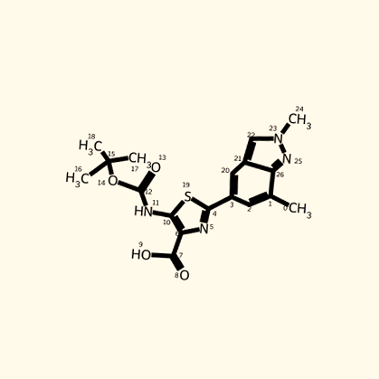 Cc1cc(-c2nc(C(=O)O)c(NC(=O)OC(C)(C)C)s2)cc2cn(C)nc12